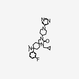 CN(C)C1(c2cccc(F)c2)CCC2(CC1)CN(C1CCN(c3cncnc3)CC1)C(=O)N2CC1CC1